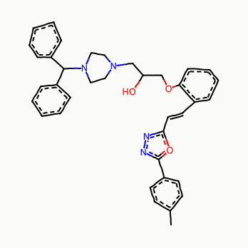 Cc1ccc(-c2nnc(C=Cc3ccccc3OCC(O)CN3CCN(C(c4ccccc4)c4ccccc4)CC3)o2)cc1